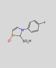 O=S(=O)(O)C1N(c2ccc(I)cc2)C=C[S+]1[O-]